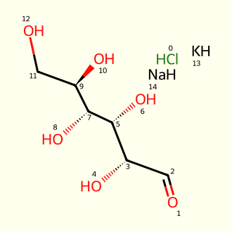 Cl.O=C[C@H](O)[C@@H](O)[C@H](O)[C@H](O)CO.[KH].[NaH]